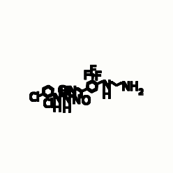 NCCCNCc1ccc(-c2c[nH]c(NC(=O)Nc3cccc(Cl)c3Cl)nc2=O)cc1C(F)(F)F